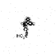 O=C(O)COC[C@H]1CC[C@H](Cn2nc(-c3ccc(Cl)cc3)c(-c3ccccc3)nc2=O)CC1